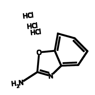 Cl.Cl.Cl.Nc1nc2ccccc2o1